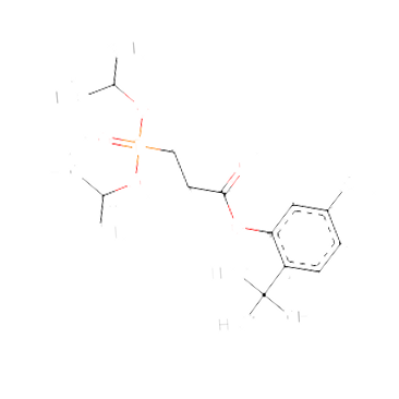 Cc1ccc(C(C)(C)C)c(OC(=O)CCP(=O)(OC(C)C)OC(C)C)c1